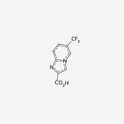 O=C(O)c1cn2cc(C(F)(F)F)ccc2n1